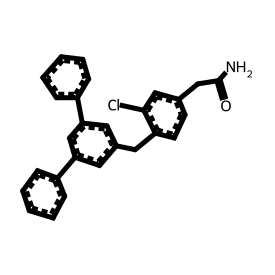 NC(=O)Cc1ccc(Cc2cc(-c3ccccc3)cc(-c3ccccc3)c2)c(Cl)c1